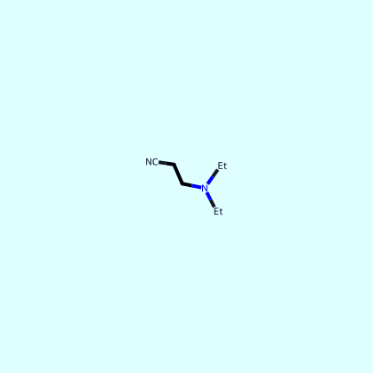 CCN(CC)CCC#N